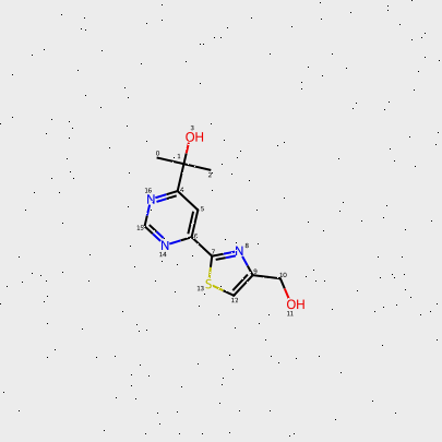 CC(C)(O)c1cc(-c2nc(CO)cs2)ncn1